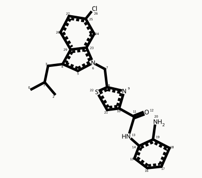 CC(C)Cc1cn(Cc2nc(C(=O)Nc3ccccc3N)cs2)c2cc(Cl)ccc12